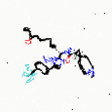 CCC(=O)CCCCC[C@H](NC(=O)[C@H]1CC12CCN(C)CC2)c1ncc(-c2ccc(C(F)(F)F)cc2)[nH]1